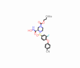 COCCOC(=O)N1CCN([S+]([O-])c2ccc(Oc3ccc(C#N)cc3)c(F)c2)[C@@H](C(=O)NO)C1